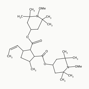 C/C=C\C1CC(C)C(C(=O)OC2CC(C)(C)N(OC)C(C)(C)C2)C1C(=O)OC1CC(C)(C)N(OC)C(C)(C)C1